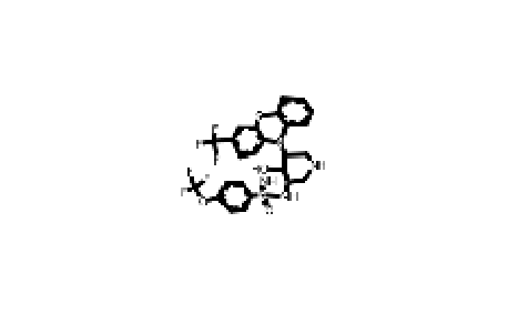 N=S(=O)(NC1CNCC(N2c3ccccc3Sc3cc(C(F)(F)F)ccc32)C1O)c1ccc(OC(F)(F)F)cc1